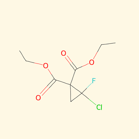 CCOC(=O)C1(C(=O)OCC)CC1(F)Cl